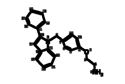 NCCOc1ccc(Cn2c(-c3ccccc3)cc3ccccc32)cc1